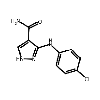 NC(=O)c1c[nH]nc1Nc1ccc(Cl)cc1